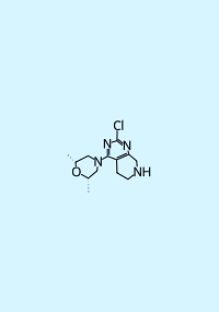 C[C@@H]1CN(c2nc(Cl)nc3c2CCNC3)C[C@H](C)O1